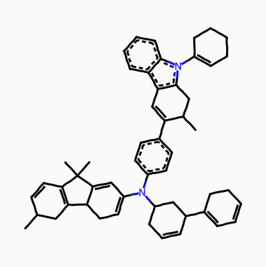 CC1C=CC2=C(C1)C1CC=C(N(c3ccc(C4=Cc5c(n(C6=CCCCC6)c6ccccc56)CC4C)cc3)C3CC=CC(C4=CC=CCC4)C3)C=C1C2(C)C